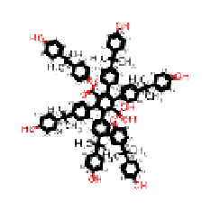 CC(C)(c1ccc(O)cc1)c1ccc(OC(=O)c2c(-c3ccc(C(C)(C)c4ccc(O)cc4)cc3)c(-c3ccc(C(C)(C)c4ccc(O)cc4)cc3)c(C(O)(O)Oc3ccc(C(C)(C)c4ccc(O)cc4)cc3)c(-c3ccc(C(C)(C)c4ccc(O)cc4)cc3)c2-c2ccc(C(C)(C)c3ccc(O)cc3)cc2)cc1